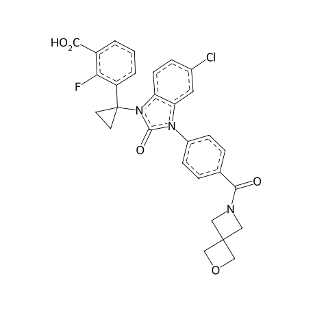 O=C(O)c1cccc(C2(n3c(=O)n(-c4ccc(C(=O)N5CC6(COC6)C5)cc4)c4cc(Cl)ccc43)CC2)c1F